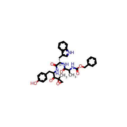 CC(NC(=O)OCc1ccccc1)C(=O)N[C@@H](Cc1c[nH]c2ccccc12)C(=O)NC(Cc1ccc(O)cc1)C(=O)C1(C)CO1